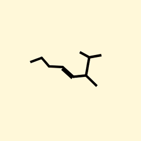 CCCC=CC(C)C(C)C